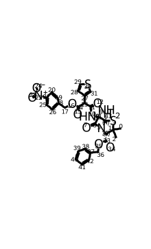 CC1(C)S[C@H]2N(C(=O)[C@@]2(N)NC(=O)C(C(=O)OCc2ccc([N+](=O)[O-])cc2)c2ccsc2)[C@H]1C(=O)OCc1ccccc1